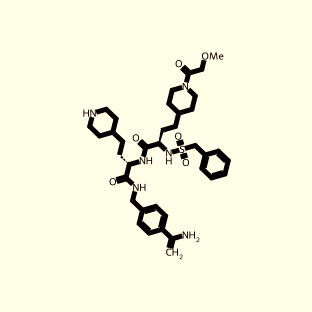 C=C(N)c1ccc(CNC(=O)[C@H](CCC2CCNCC2)NC(=O)[C@@H](CCC2CCN(C(=O)COC)CC2)NS(=O)(=O)Cc2ccccc2)cc1